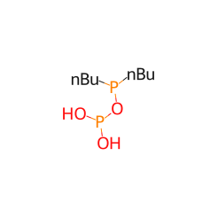 CCCCP(CCCC)OP(O)O